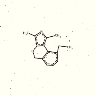 CCc1cccc2c1-n1c(C)nc(C)c1OC2